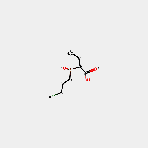 CCC(C(=O)O)[S+]([O-])CCCF